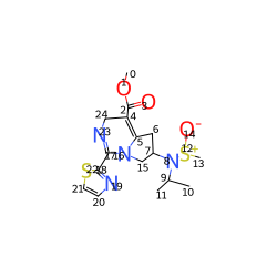 COC(=O)C1=C2CC(N(C(C)C)[S+](C)[O-])CN2C(c2nccs2)=NC1